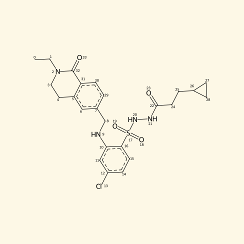 CCN1CCc2cc(CNc3cc(Cl)ccc3S(=O)(=O)NNC(=O)CCC3CC3)ccc2C1=O